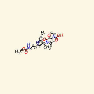 CCc1cc(C(C)N(C(=O)[C@H]2CN(C(=O)O)CCO2)C2CC2)cc(CCCNC(=O)OC)n1